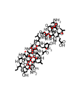 CC[C@H](C)[C@H](NC(=O)[C@H](CC(=O)O)NC(=O)[C@H](CO)NC(=O)[C@H](CS)NC(=O)[C@H](C)NC(=O)[C@H](C)NC(=O)[C@H](Cc1ccc(O)cc1)NC(=O)[C@@H](NC(=O)[C@H](C)NC(=O)[C@H](CC(=O)O)NC(=O)[C@H](CC(N)=O)NC(=O)[C@H](CC(C)C)NC(=O)[C@H](CCC(=O)O)NC(=O)[C@@H](N)CC(=O)O)C(C)C)C(=O)N[C@@H](C)C(=O)N[C@@H](C)C(=O)N[C@@H](CCCCN)C(=O)N[C@@H](CC(C)C)C(=O)N[C@@H](CCC(N)=O)C(=O)N[C@@H](C)C(=O)O